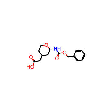 O=C(O)CC1CCO[C@H](NC(=O)OCc2ccccc2)C1